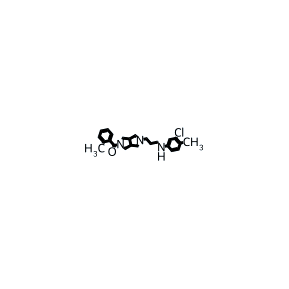 Cc1ccc(NCCCN2CC3CN(C(=O)c4ccccc4C)CC3C2)cc1Cl